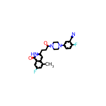 Cc1cc(F)cc2c(=O)[nH]c(CCC(=O)N3CCN(c4ccc(F)c(C#N)c4)CC3)cc12